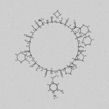 CC[C@H](C)[C@@H]1NC(=O)[C@H](C2CCC2)N(C)C(=O)C[C@@H](C(=O)N2CCOCC2)N(C)C(=O)[C@H](C2CCCCC2)N(C)C(=O)C2(CCCC2)NC(=O)[C@@H]2CCCN2C(=O)[C@H](CCc2ccc(C(F)(F)F)c(Cl)c2)NC(=O)CN(C)C(=O)[C@H](CC2CCCCC2)N(C)C(=O)CN(C)C(=O)CN(C)C1=O